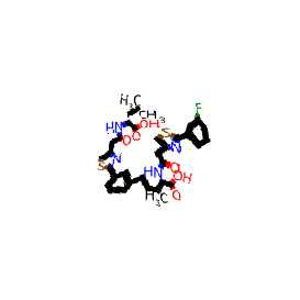 CC(C)C[C@@H](NC(=O)Cc1csc(-c2cccc(CCC(C)[C@@H](NC(=O)Cc3csc(-c4cccc(F)c4)n3)C(=O)O)c2)n1)C(=O)O